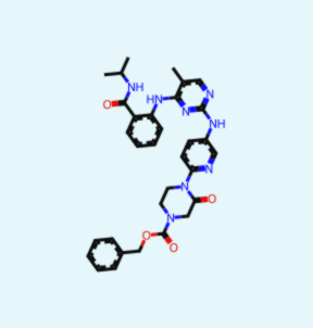 Cc1cnc(Nc2ccc(N3CCN(C(=O)OCc4ccccc4)CC3=O)nc2)nc1Nc1ccccc1C(=O)NC(C)C